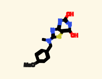 COc1ccc(CN(C)c2nc3nc(O)nc(O)c3s2)cc1